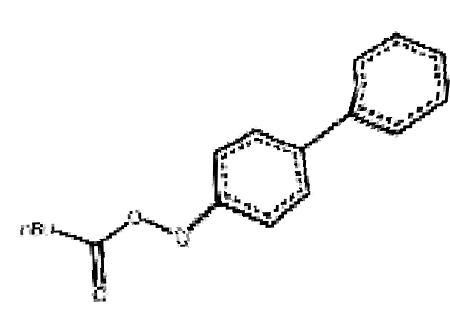 CCCCC(=O)OOc1ccc(-c2ccccc2)cc1